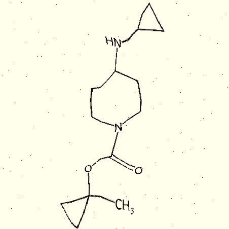 CC1(OC(=O)N2CCC(NC3CC3)CC2)CC1